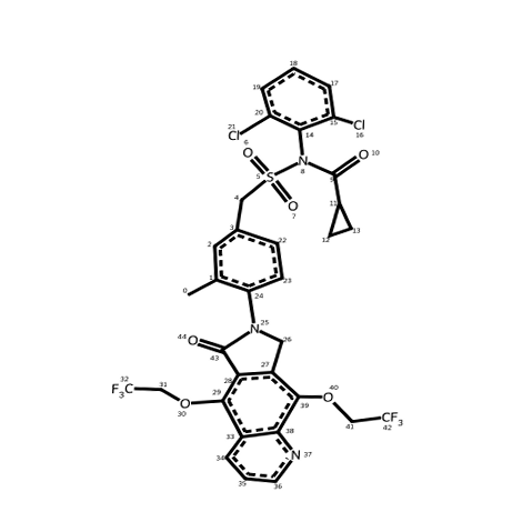 Cc1cc(CS(=O)(=O)N(C(=O)C2CC2)c2c(Cl)cccc2Cl)ccc1N1Cc2c(c(OCC(F)(F)F)c3cccnc3c2OCC(F)(F)F)C1=O